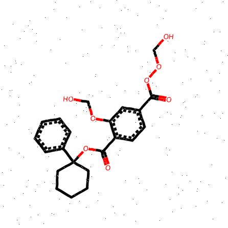 O=C(OOCO)c1ccc(C(=O)OC2(c3ccccc3)CCCCC2)c(OCO)c1